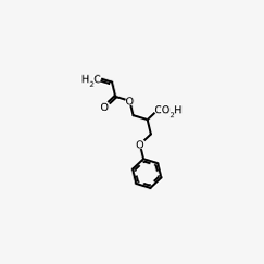 C=CC(=O)OCC(COc1ccccc1)C(=O)O